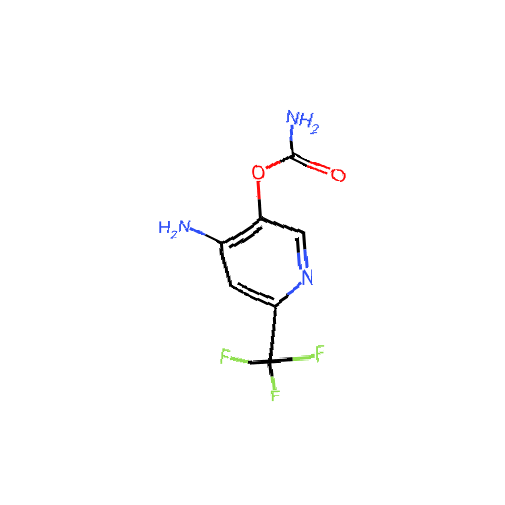 NC(=O)Oc1cnc(C(F)(F)F)cc1N